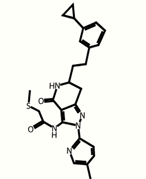 CSCC(=O)Nc1c2c(nn1-c1ccc(C)cn1)CC(CCc1cccc(C3CC3)c1)NC2=O